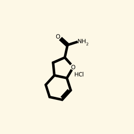 Cl.NC(=O)C1CC2CCC=CC2O1